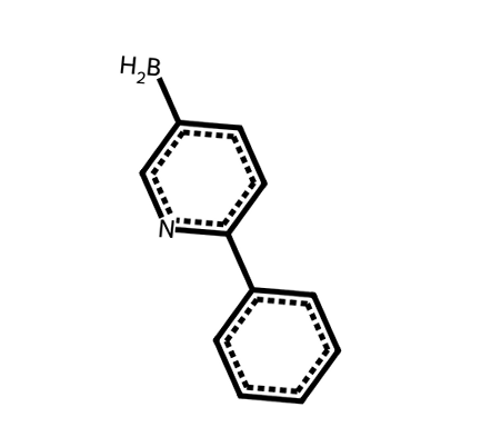 Bc1ccc(-c2ccccc2)nc1